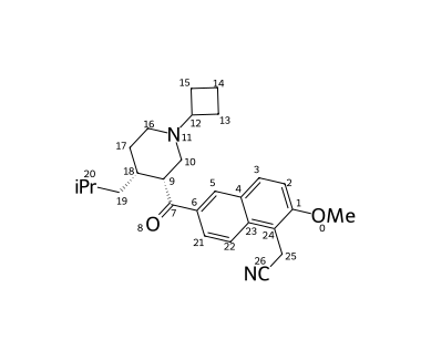 COc1ccc2cc(C(=O)[C@H]3CN(C4CCC4)CC[C@H]3CC(C)C)ccc2c1CC#N